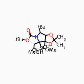 CO[SiH](OC)C1(CC#N)N(C(=O)OC(C)(C)C)C(C(C)(C)C)C2OC(C)(C)OC21C